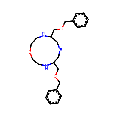 c1ccc(COCC2CNCC(COCc3ccccc3)NCCOCCN2)cc1